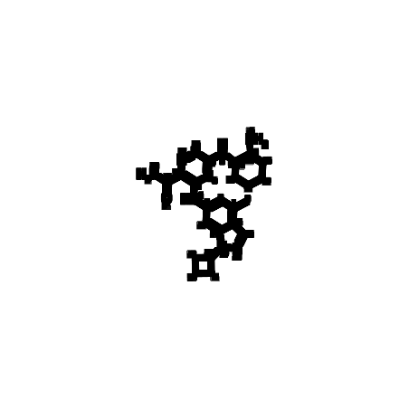 Cc1cc(Nc2nc(N[C@@H]3CCCC[C@@H]3N)nnc2C(N)=O)cc2c1cnn2C1CCC1